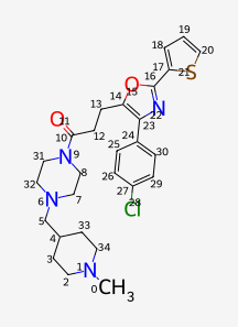 CN1CCC(CN2CCN(C(=O)CCc3oc(-c4cccs4)nc3-c3ccc(Cl)cc3)CC2)CC1